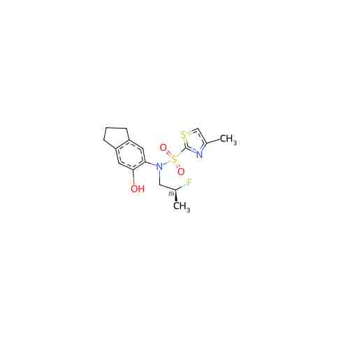 Cc1csc(S(=O)(=O)N(C[C@H](C)F)c2cc3c(cc2O)CCC3)n1